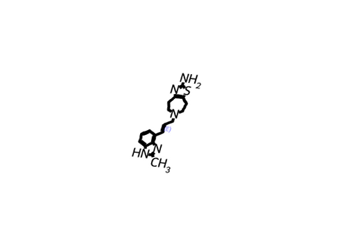 Cc1nc2c(/C=C/CN3CCc4nc(N)sc4CC3)cccc2[nH]1